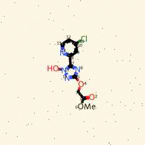 COC(=O)COc1nc(-c2cc(Cl)ccn2)n(O)n1